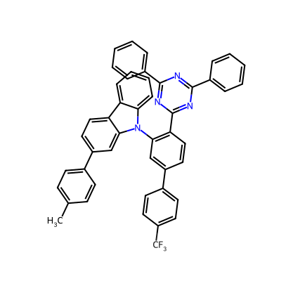 Cc1ccc(-c2ccc3c4ccccc4n(-c4cc(-c5ccc(C(F)(F)F)cc5)ccc4-c4nc(-c5ccccc5)nc(-c5ccccc5)n4)c3c2)cc1